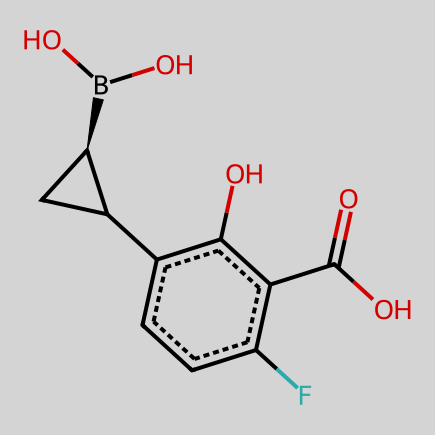 O=C(O)c1c(F)ccc(C2C[C@H]2B(O)O)c1O